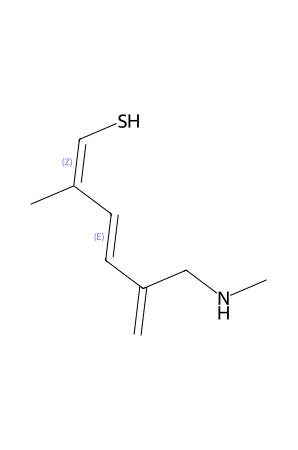 C=C(/C=C/C(C)=C\S)CNC